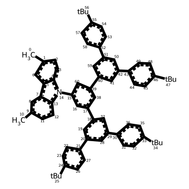 Cc1ccc2c(c1)c1cc(C)ccc1n2-c1cc(-c2cc(-c3ccc(C(C)(C)C)cc3)cc(-c3ccc(C(C)(C)C)cc3)c2)cc(-c2cc(-c3ccc(C(C)(C)C)cc3)cc(-c3ccc(C(C)(C)C)cc3)c2)c1